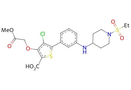 CCS(=O)(=O)N1CCC(Nc2cccc(-c3sc(C(=O)O)c(OCC(=O)OC)c3Cl)c2)CC1